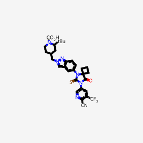 CC(C)(C)C1CC(Cn2cc3cc(N4C(=S)N(c5cnc(C#N)c(C(F)(F)F)c5)C(=O)C45CCC5)ccc3n2)CCN1C(=O)O